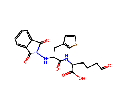 O=CCCC[C@H](NC(=O)[C@H](Cc1ccsc1)NN1C(=O)c2ccccc2C1=O)C(=O)O